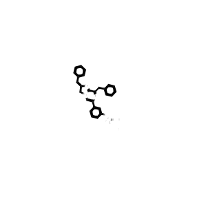 CC(C)(C)[Si](C)(C)Oc1cccc(C2=CN3CC(=Cc4ccccc4)N=C3C(Cc3ccccc3)=N2)c1